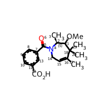 COC1[C@H](C)N(C(=O)c2cccc(C(=O)O)c2)CC=C(C)C1(C)C